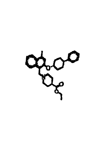 CCOC(=O)C1CCN(Cc2c(O[C@H]3CC[C@H](c4ccccc4)CC3)cc(C)c3ccccc23)CC1